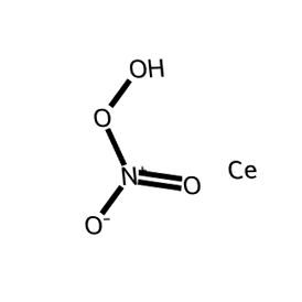 O=[N+]([O-])OO.[Ce]